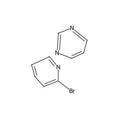 Brc1ccccn1.c1cncnc1